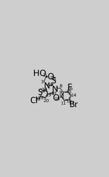 O=C(O)Cn1c(=S)n(Cc2ccc(Br)cc2F)c(=O)c2cc(Cl)sc21